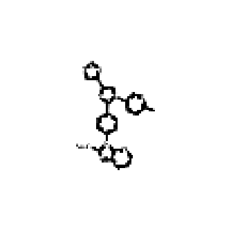 COc1nc2cccnc2n1-c1ccc(-c2nc(-c3cncs3)cn2-c2ccc(C)nc2)cc1